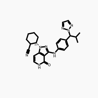 CC(C)C(c1ccc(Nc2nn([C@H]3CCCCC3C#N)c3cc[nH]c(=O)c23)cc1)n1nccn1